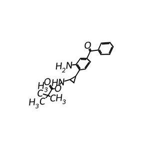 CC(C)(C)C(=O)ONC1CC1c1ccc(C(=O)c2ccccc2)cc1N